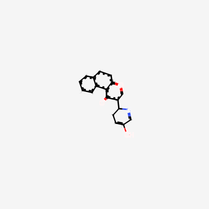 O=c1c(C2CC=C(O)C=N2)coc2ccc3ccccc3c12